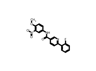 COc1ccc(NC(=O)c2ccc(-c3ccccc3F)nc2)cc1[N+](=O)[O-]